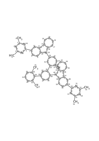 Cc1nc(C)nc(-c2ccc3c(c2)c2ccccc2n3-c2ccc(C#N)c(-c3cc(-c4c(C(F)(F)F)cccc4C(F)(F)F)ccc3-n3c4ccccc4c4cc(-c5nc(C)nc(C)n5)ccc43)c2)n1